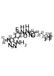 Nc1ncnc2c1c(-c1ccc(NC(=O)Nc3cc(CCCCCC(F)(F)F)on3)c(F)c1)cn2C1CC1